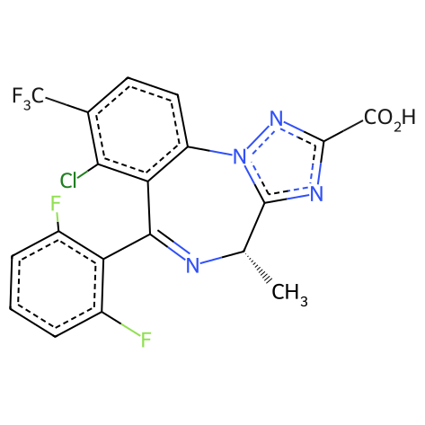 C[C@@H]1N=C(c2c(F)cccc2F)c2c(ccc(C(F)(F)F)c2Cl)-n2nc(C(=O)O)nc21